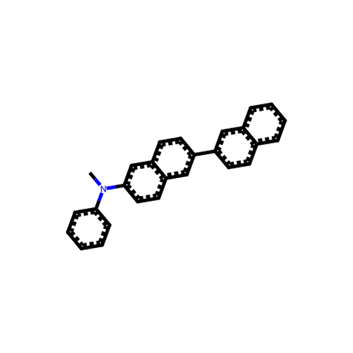 CN(c1ccccc1)c1ccc2cc(-c3ccc4ccccc4c3)ccc2c1